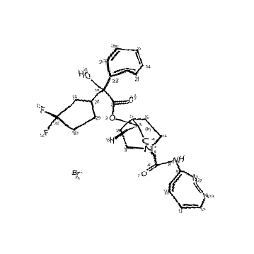 O=C(O[C@H]1C[N+]2(C(=O)Nc3cccnn3)CCC1CC2)C(O)(c1ccccc1)C1CCC(F)(F)C1.[Br-]